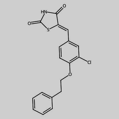 O=C1NC(=O)/C(=C/c2ccc(OCCc3ccccc3)c(Cl)c2)S1